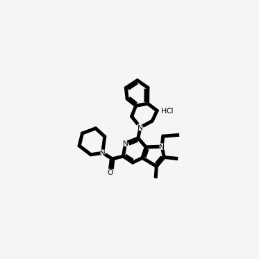 CCn1c(C)c(C)c2cc(C(=O)N3CCCCC3)nc(N3CCc4ccccc4C3)c21.Cl